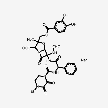 CCN1CCN(C(=O)NC(C(=O)NC2(NC=O)C(=O)N3C(C(=O)[O-])C(C)(COC(=O)c4ccc(O)c(O)c4)SC32)c2ccccc2)C(=O)C1=O.[Na+]